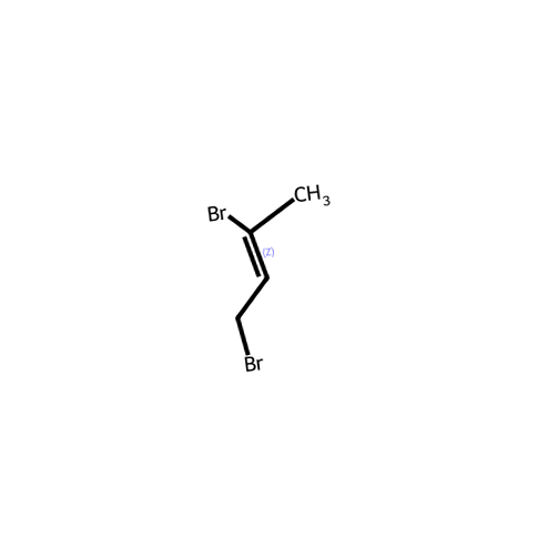 C/C(Br)=C/CBr